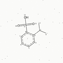 [CH2]C([CH2])c1ccccc1S(=O)(=O)O